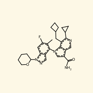 Cc1c(F)cc2c(cnn2C2CCCCO2)c1-n1cc(C(N)=O)c2cnc(C3CC3)c(CC3CCC3)c21